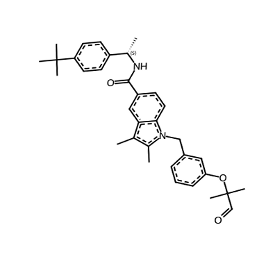 Cc1c(C)n(Cc2cccc(OC(C)(C)C=O)c2)c2ccc(C(=O)N[C@@H](C)c3ccc(C(C)(C)C)cc3)cc12